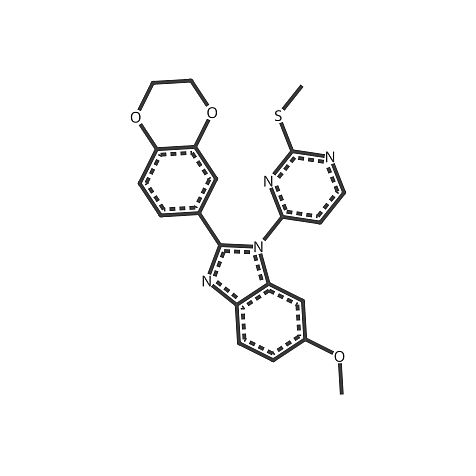 COc1ccc2nc(-c3ccc4c(c3)OCCO4)n(-c3ccnc(SC)n3)c2c1